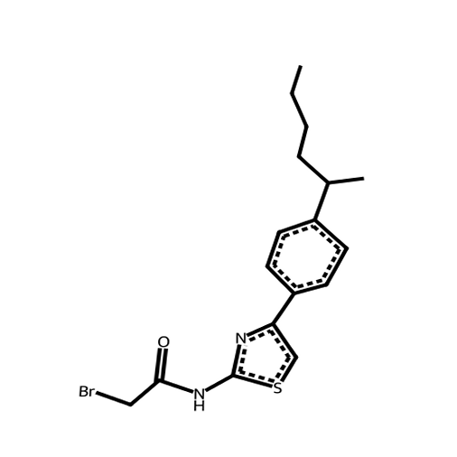 CCCCC(C)c1ccc(-c2csc(NC(=O)CBr)n2)cc1